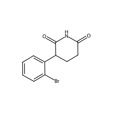 O=C1CCC(c2ccccc2Br)C(=O)N1